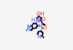 Cc1cc([C@H]2OC=C(C(N)=O)N2c2cc3cn(C)nc3cc2N2CCC(O)C2)ccn1